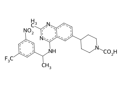 Cc1nc(NC(C)c2cc([N+](=O)[O-])cc(C(F)(F)F)c2)c2cc(C3CCN(C(=O)O)CC3)ccc2n1